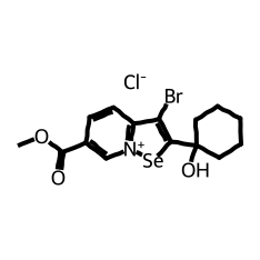 COC(=O)c1ccc2c(Br)c(C3(O)CCCCC3)[se][n+]2c1.[Cl-]